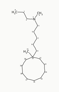 CCCN(C)CCCCCC1(C)CCCCCCCCC1